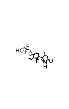 C=Cc1c(OCC(F)(F)CO)ccc(C2=NNC(=O)CC2C)c1F